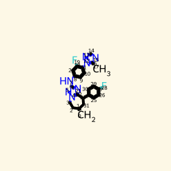 C=C1CCn2nc(Nc3ccc(-n4ncnc4C)c(F)c3)nc2C(c2ccc(F)cc2)C1